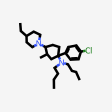 CCCCN(CCCC)C1(c2ccc(Cl)cc2)CCC(N2CCC(CC)CC2)C(C)C1